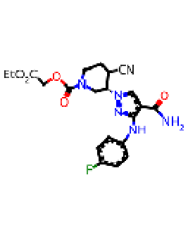 CCOC(=O)COC(=O)N1CCC(C#N)[C@H](n2cc(C(N)=O)c(Nc3ccc(F)cc3)n2)C1